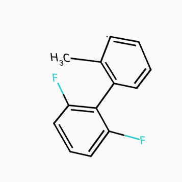 Cc1[c]cccc1-c1c(F)cccc1F